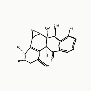 C[C@@H]1CC(=O)C2=C(C3OC3[C@]3(O)[C@H]2C(=O)c2cccc(O)c2[C@@H]3O)[C@H]1O